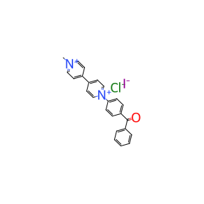 C[n+]1ccc(-c2cc[n+](-c3ccc(C(=O)c4ccccc4)cc3)cc2)cc1.[Cl-].[I-]